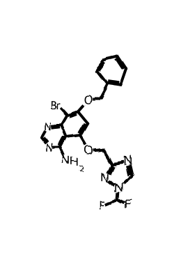 Nc1ncnc2c(Br)c(OCc3ccccc3)cc(OCc3ncn(C(F)F)n3)c12